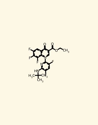 CCOC(=O)c1cn(-c2nc(NC(C)(C)C)c(F)cc2F)c2c(F)c(F)c(F)cc2c1=O